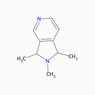 CC1c2ccncc2C(C)N1C